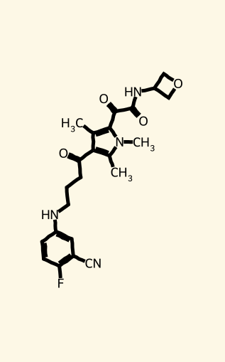 Cc1c(C(=O)CCCNc2ccc(F)c(C#N)c2)c(C)n(C)c1C(=O)C(=O)NC1COC1